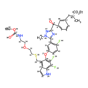 CCOC(=O)[C@H](C)Cc1cccc(C(=O)c2nc(-c3cc(Oc4c(F)c(F)c5[nH]ccc5c4CSCCOCCNC(=O)OC(C)(C)C)ccc3F)n(C)n2)c1